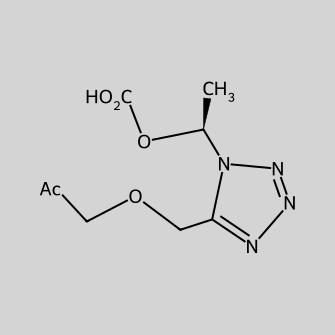 CC(=O)COCc1nnnn1[C@H](C)OC(=O)O